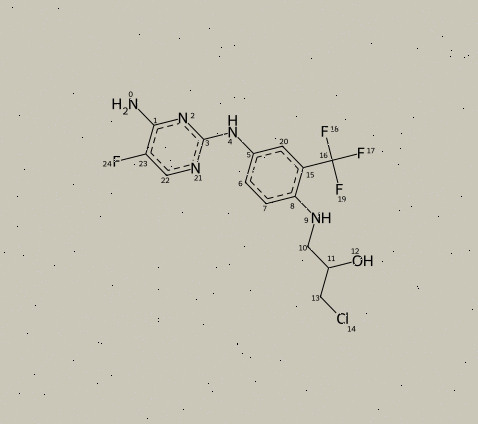 Nc1nc(Nc2ccc(NCC(O)CCl)c(C(F)(F)F)c2)ncc1F